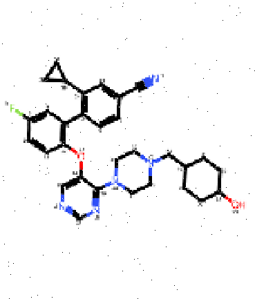 N#Cc1ccc(-c2cc(F)ccc2Oc2cncnc2N2CCN(CC3CCC(O)CC3)CC2)c(C2CC2)c1